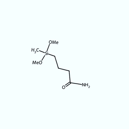 CO[Si](C)(CCCC(N)=O)OC